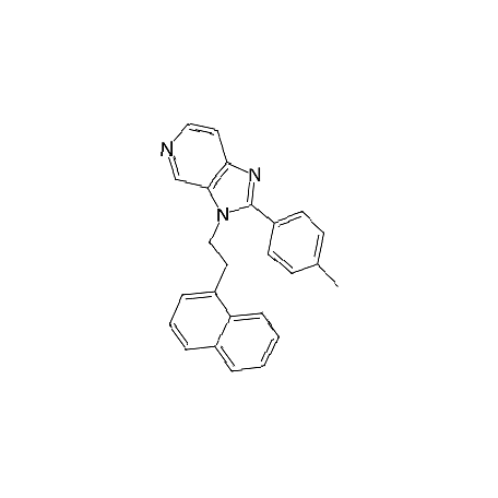 Cc1ccc(-c2nc3ccncc3n2CCc2cccc3ccccc23)cc1